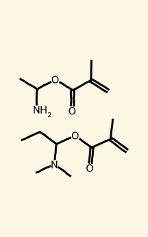 C=C(C)C(=O)OC(C)N.C=C(C)C(=O)OC(CC)N(C)C